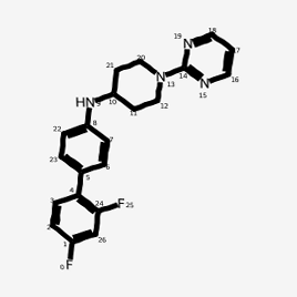 Fc1ccc(-c2ccc(NC3CCN(c4ncccn4)CC3)cc2)c(F)c1